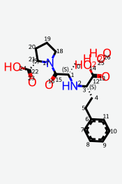 C[C@H](N[C@@H](CCc1ccccc1)C(=O)O)C(=O)N1CCC[C@H]1C(=O)O.O.O